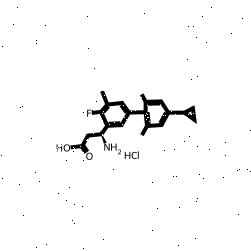 Cc1cc(-c2c(C)cc(C3CC3)cc2C)cc([C@@H](N)CC(=O)O)c1F.Cl